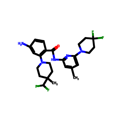 Cc1cc(NC(=O)c2ccc(N)cc2N2CCC(C)(C(F)F)CC2)nc(N2CCC(F)(F)CC2)c1